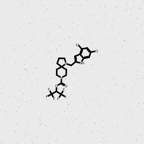 O=C(OC(C(F)(F)F)C(F)(F)F)N1CCC2(CCCN2Cc2cc3c(Cl)cc(Cl)cc3[nH]2)CC1